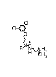 CC(C)N(CCCOc1cc(Cl)cc(Cl)c1)C(=S)NCCN(C)C